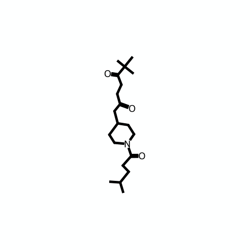 CC(C)CCC(=O)N1CCC(CC(=O)CCC(=O)C(C)(C)C)CC1